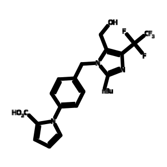 CCCCc1nc(C(F)(F)C(F)(F)F)c(CO)n1Cc1ccc(-n2cccc2C(=O)O)cc1